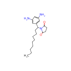 CCCCCCCCCC(c1cc(N)cc(N)c1)N1C(=O)CCC1=O